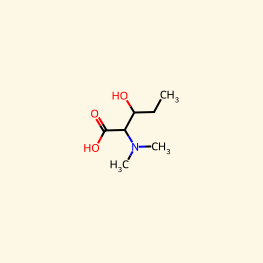 CCC(O)C(C(=O)O)N(C)C